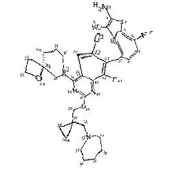 N#Cc1c(N)sc2c(F)ccc(-c3c(Cl)cc4c(N5CCC[C@]6(CCO6)C5)nc(OCC5(CN6CCCCC6)CC5)nc4c3F)c12